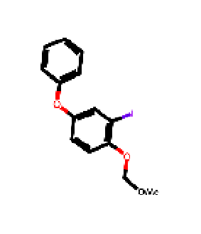 COCOc1ccc(Oc2ccccc2)cc1I